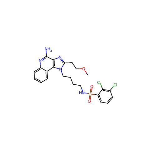 COCCc1nc2c(N)nc3ccccc3c2n1CCCCNS(=O)(=O)c1cccc(Cl)c1Cl